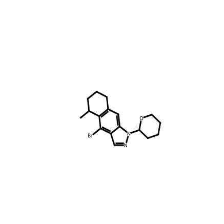 CC1CCCc2cc3c(cnn3C3CCCCO3)c(Br)c21